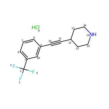 Cl.FC(F)(F)c1cccc(C#CC2CCNCC2)c1